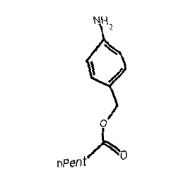 CCCCCC(=O)OCc1ccc(N)cc1